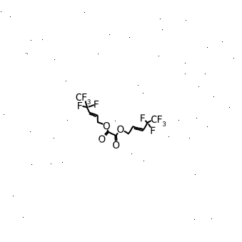 O=C(OCC=CC(F)(F)C(F)(F)F)C(=O)OCC=CC(F)(F)C(F)(F)F